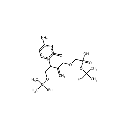 C=C(COCP(=O)(O)OC(C)(C)C(C)C)C(CO[Si](C)(C)C(C)(C)C)n1ccc(N)nc1=O